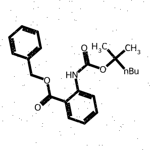 CCCCC(C)(C)OC(=O)Nc1ccccc1C(=O)OCc1ccccc1